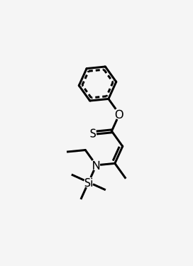 CCN(C(C)=CC(=S)Oc1ccccc1)[Si](C)(C)C